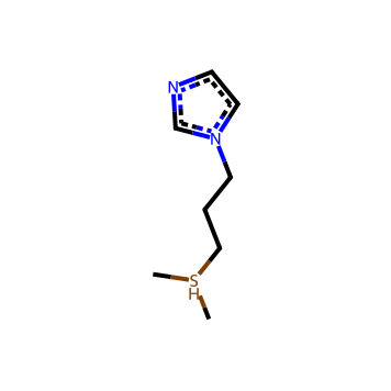 C[SH](C)CCCn1ccnc1